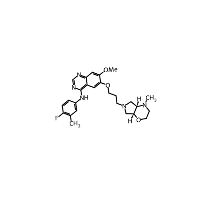 COc1cc2ncnc(Nc3ccc(F)c(C)c3)c2cc1OCCCN1C[C@H]2OCCN(C)[C@H]2C1